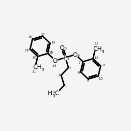 CCCCP(=O)(Oc1ccccc1C)Oc1ccccc1C